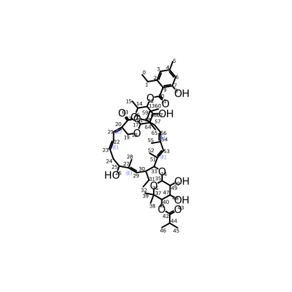 CCc1cc(C)cc(O)c1C(=O)OC1C(C)OC(OC/C2=C\C=C\CC(O)/C(C)=C/C(CC)C(OC3OC(C)(C)C(OC(=O)C(C)C)C(O)C3O)/C(C)=C/C(C)=C/CC(CC)OC2=O)C(C)C1O